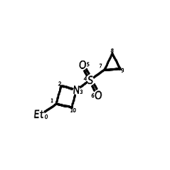 CCC1CN(S(=O)(=O)C2CC2)C1